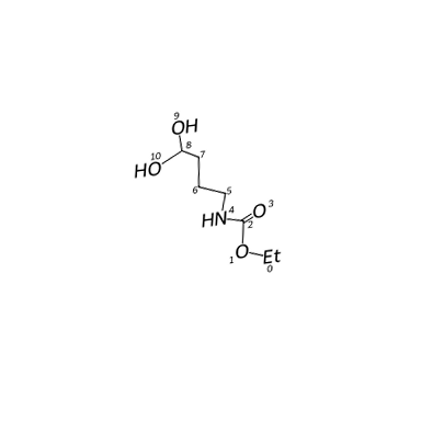 CCOC(=O)NCCCC(O)O